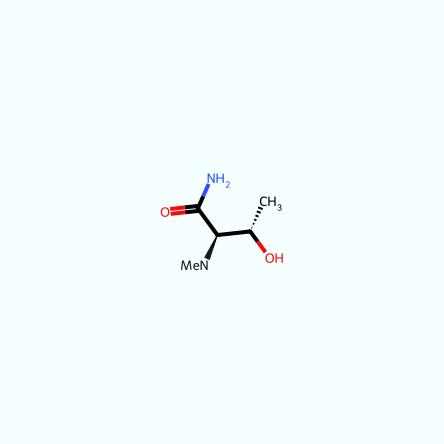 CN[C@@H](C(N)=O)[C@H](C)O